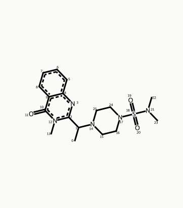 CC(c1nc2ccccc2c(=O)n1C)N1CCN(S(=O)(=O)N(C)C)CC1